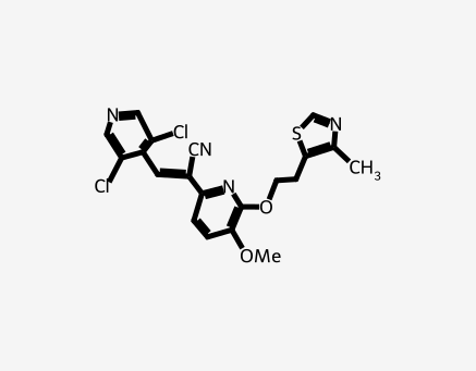 COc1ccc(C(C#N)=Cc2c(Cl)cncc2Cl)nc1OCCc1scnc1C